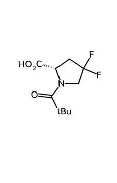 CC(C)(C)C(=O)N1CC(F)(F)C[C@H]1C(=O)O